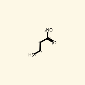 O=NC(=O)CCS